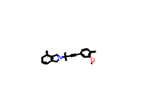 COc1cc(C#CC(C)(C)N2CC3=C(C2)C(C)CC=C3)ccc1C